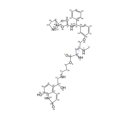 CN/C(=C\C(=N)C(=O)OCCCNCC(O)c1ccc(O)c2[nH]c(=O)ccc12)COc1cccc([C@@H](NC(=O)O[C@H]2CN3CCC2CC3)c2ccccc2)c1